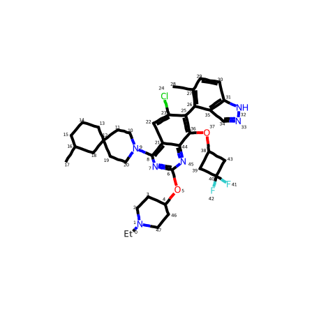 CCN1CCC(Oc2nc(N3CCC4(CCCC(C)C4)CC3)c3cc(Cl)c(-c4c(C)ccc5[nH]ncc45)c(OC4CC(F)(F)C4)c3n2)CC1